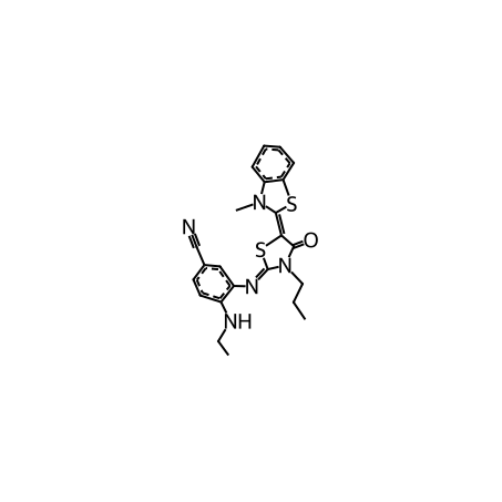 CCCN1C(=O)C(=C2Sc3ccccc3N2C)SC1=Nc1cc(C#N)ccc1NCC